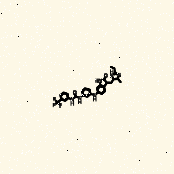 CCc1nc(C)c(/C=C2\C(=O)Nc3cc(Nc4cccc(NC(=O)Nc5cccc(C(F)(F)F)c5)c4)ccc32)[nH]1